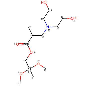 CO[Si](C)(COC(=O)C(C)CN(CCO)CCO)OC